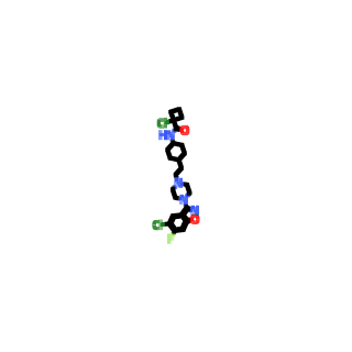 O=C(NC1CCC(CCN2CCN(c3noc4cc(F)c(Cl)cc34)CC2)CC1)C1(Cl)CCC1